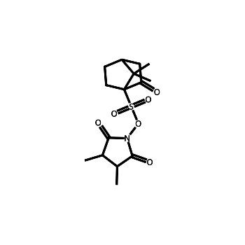 CC1C(=O)N(OS(=O)(=O)C23CCC(CC2=O)C3(C)C)C(=O)C1C